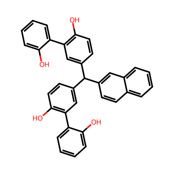 Oc1ccccc1-c1cc(C(c2ccc(O)c(-c3ccccc3O)c2)c2ccc3ccccc3c2)ccc1O